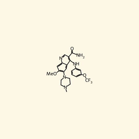 COc1cc2ncc(C(N)=O)c(Nc3cccc(OC(F)(F)F)c3)c2cc1N1CCN(C)CC1